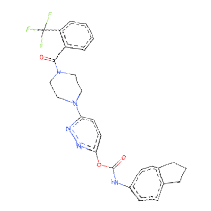 O=C(Nc1ccc2c(c1)CCC2)Oc1ccc(N2CCN(C(=O)c3ccccc3C(F)(F)F)CC2)nn1